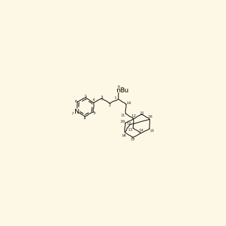 CCCCC(C[CH]c1ccncc1)CCC12CC3CC(CC(C3)C1)C2